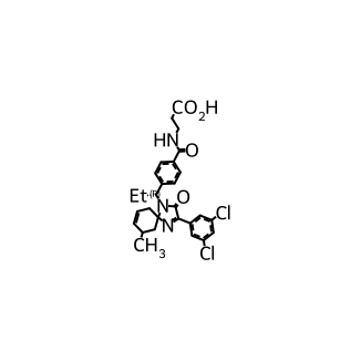 CC[C@H](c1ccc(C(=O)NCCC(=O)O)cc1)N1C(=O)C(c2cc(Cl)cc(Cl)c2)=NC12CC=CC(C)C2